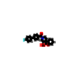 O=C(c1ccc(-c2ccc(F)cc2)cc1)N1CCC(C(=O)O)(C2CCCCC2)CC1